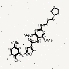 COc1nc(NCCCN2CCCC2)nc(OC)c1NC(=O)c1coc(Oc2cc(C(C)(C)C)ccc2C)n1